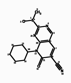 C[S+]([O-])c1ncc2cc(C#N)c(=O)n(C3CCCCC3)c2n1